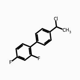 CC(Cl)c1ccc(-c2ccc(F)cc2F)cc1